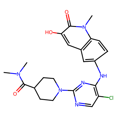 CN(C)C(=O)C1CCN(c2ncc(Cl)c(Nc3ccc4c(c3)cc(O)c(=O)n4C)n2)CC1